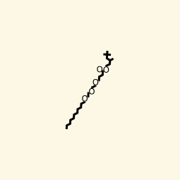 CCCCCCCCCCCOCCOCCOCCCC(=O)OCCC(C)CC(C)(C)C